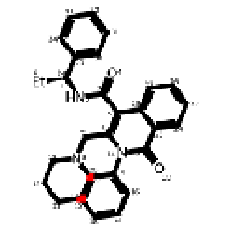 CC[C@H](NC(=O)c1c(CN2CCCCC2)n(-c2ccccc2)c(=O)c2ccccc12)c1ccccc1